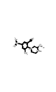 Cc1cc([N+](=O)[O-])cc(C#N)c1N1CCNC(C)C1